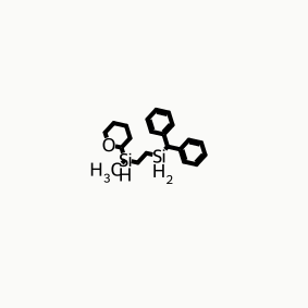 C[SiH](CC[SiH2]C(c1ccccc1)c1ccccc1)C1CCCCO1